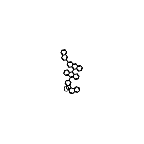 c1ccc2cc(-c3ccc4c(-c5c6ccccc6c(-c6ccc7oc8ccc9ccccc9c8c7c6)c6ccccc56)c5ccccc5cc4c3)ccc2c1